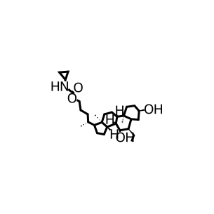 CC[C@@H]1C2C[C@H](O)CC[C@]2(C)[C@H]2CC[C@]3(C)C([C@H](C)CCCOC(=O)NC4CC4)CC[C@H]3[C@@H]2[C@@H]1O